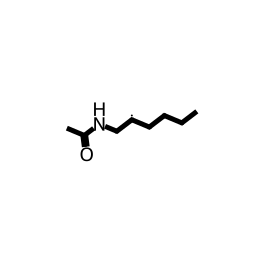 CCCC[CH]CNC(C)=O